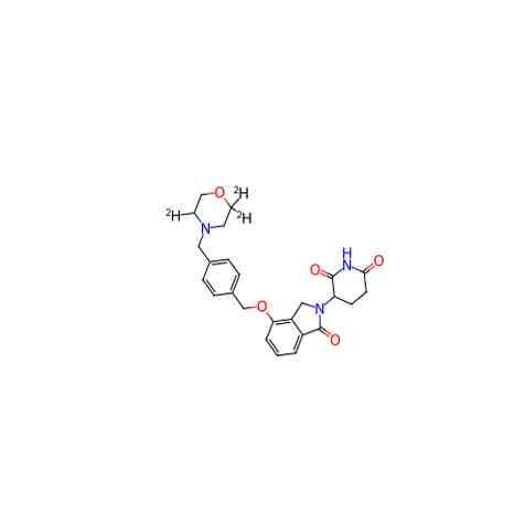 [2H]C1COC([2H])([2H])CN1Cc1ccc(COc2cccc3c2CN(C2CCC(=O)NC2=O)C3=O)cc1